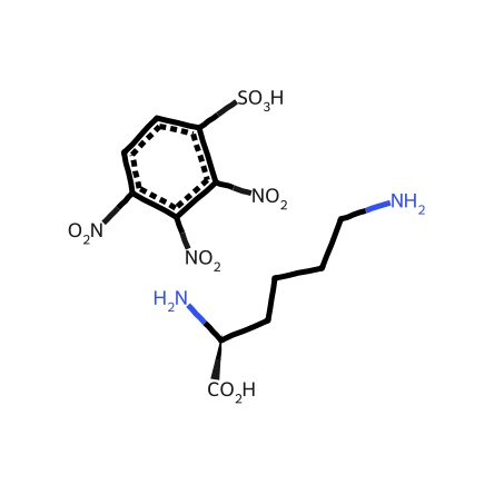 NCCCC[C@H](N)C(=O)O.O=[N+]([O-])c1ccc(S(=O)(=O)O)c([N+](=O)[O-])c1[N+](=O)[O-]